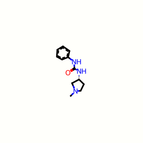 CN1CC[C@@H](NC(=O)Nc2ccccc2)C1